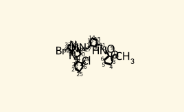 COc1ccccc1C(=O)NCc1cccc(CNc2cc(-c3ccccc3Cl)nc3c(Br)cnn23)c1